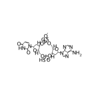 COSP1(=O)OC[C@H]2O[C@@H](n3cnc4c(N)ncnc43)C[C@@H]2OP(=O)(S)OC[C@H]2O[C@@H](n3ccc(=O)[nH]c3=O)C[C@@H]2O1